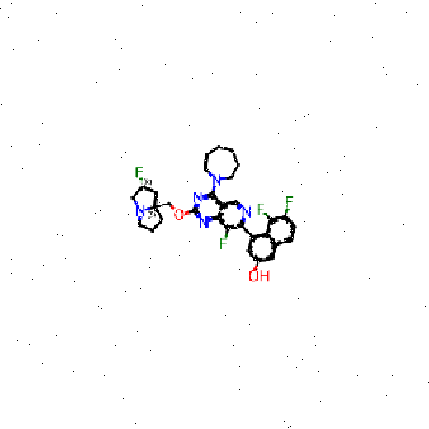 Oc1cc(-c2ncc3c(N4CCCCCC4)nc(OC[C@@]45CCCN4C[C@H](F)C5)nc3c2F)c2c(F)c(F)ccc2c1